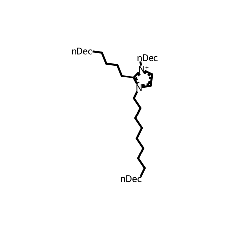 CCCCCCCCCCCCCCCCCCn1cc[n+](CCCCCCCCCC)c1CCCCCCCCCCCCCC